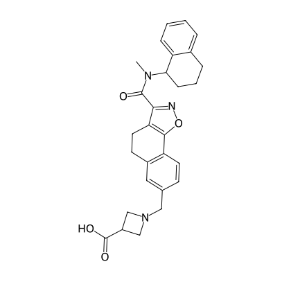 CN(C(=O)c1noc2c1CCc1cc(CN3CC(C(=O)O)C3)ccc1-2)C1CCCc2ccccc21